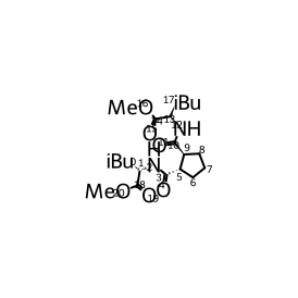 CC[C@@H](C)[C@H](NC(=O)[C@H]1CCC[C@@H]1C(=O)N[C@H](C(=O)OC)[C@H](C)CC)C(=O)OC